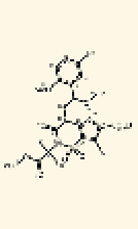 CCCCOC(=O)C(C)(C)N1C(=O)N(C[C@H](OC(C)C)c2cc(F)ccc2OC)c2sc(C(=O)OCC)c(C)c2S1(=O)=O